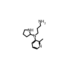 Cc1ncccc1N(CCCN)C1CCCN1